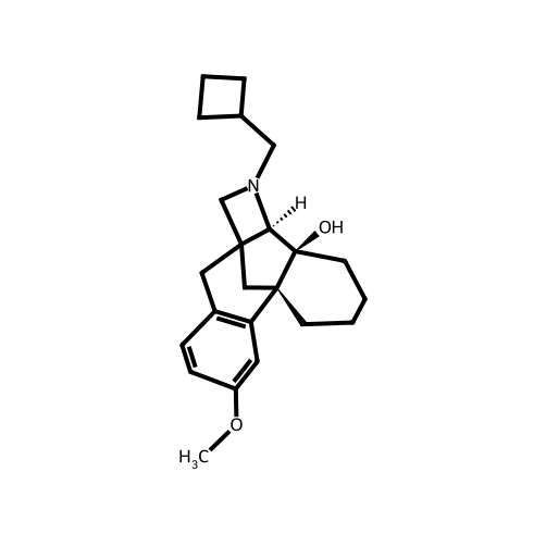 COc1ccc2c(c1)[C@@]13CCCC[C@@]1(O)[C@@H]1N(CC4CCC4)CC1(C2)C3